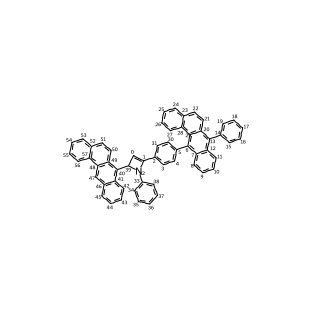 C1=C(c2ccc(-c3c4ccccc4c(-c4ccccc4)c4ccc5ccccc5c34)cc2)N(c2ccccc2)C1c1c2ccccc2cc2c1ccc1ccccc12